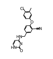 Cc1cc(Oc2ccc(CNc3cc[nH]c(=O)n3)cc2C#N)ccc1Cl